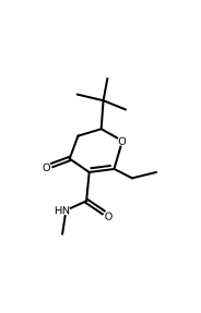 CCC1=C(C(=O)NC)C(=O)CC(C(C)(C)C)O1